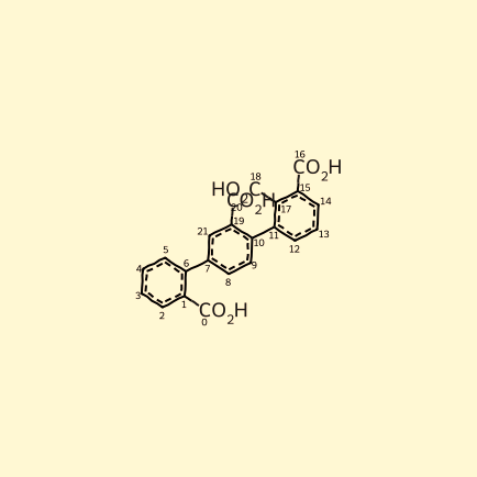 O=C(O)c1ccccc1-c1ccc(-c2cccc(C(=O)O)c2C(=O)O)c(C(=O)O)c1